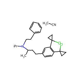 CC#N.CC(C)N(CCc1ccccc1)C(C)CCc1ccc(C2(Cl)CC2)c(C2(Cl)CC2)c1